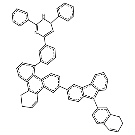 C1=Cc2ccc(-n3c4ccccc4c4cc(-c5ccc6c(c5)c5c(c7cccc(-c8cccc(C9=CC(c%10ccccc%10)NC(c%10ccccc%10)=N9)c8)c76)CCC=C5)ccc43)cc2CC1